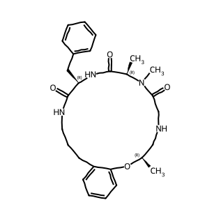 C[C@@H]1CNCC(=O)N(C)[C@H](C)C(=O)N[C@H](Cc2ccccc2)C(=O)NCCCc2ccccc2O1